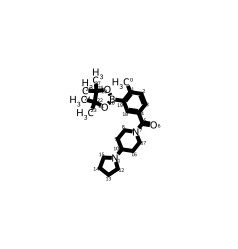 Cc1ccc(C(=O)N2CCC(N3CCCC3)CC2)cc1B1OC(C)(C)C(C)(C)O1